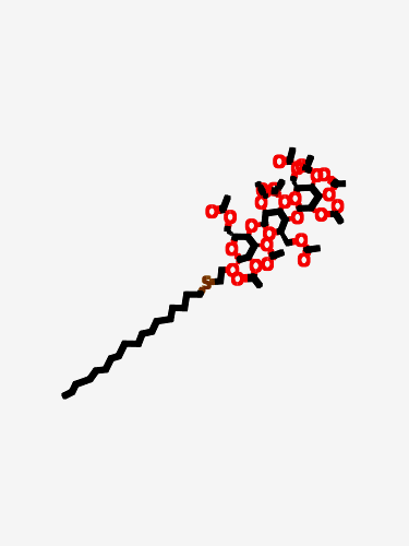 CCCCCCCCCCCCCCCCCCSCCO[C@@H]1O[C@H](COC(C)=O)[C@@H](O[C@@H]2O[C@H](COC(C)=O)[C@H](O[C@H]3O[C@H](COC(C)=O)[C@H](OC(C)=O)[C@H](OC(C)=O)[C@H]3OC(C)=O)[C@H](OC(C)=O)[C@H]2OC(C)=O)[C@H](OC(C)=O)[C@H]1OC(C)=O